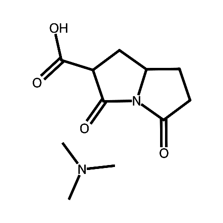 CN(C)C.O=C(O)C1CC2CCC(=O)N2C1=O